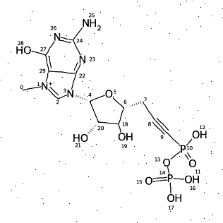 C[n+]1cn([C@@H]2O[C@H](CC#CP(=O)(O)OP(=O)(O)O)C(O)[C@@H]2O)c2nc(N)nc(O)c21